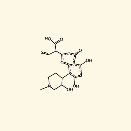 CN1CCC(c2c(O)cc(O)c3c(=O)cc(C(C=S)C(=O)O)oc23)C(O)C1